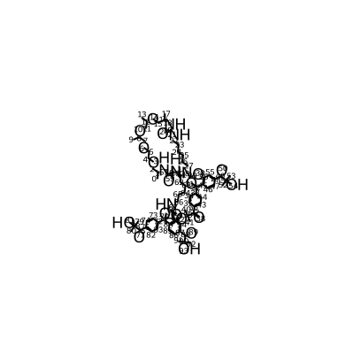 CC(COCCOCC(C)OCC(C)OCC(C)NC(=O)NCCCCCCNC(=O)OC(c1ccc(C(=O)C(C)(C)O)cc1)c1ccc(C(=O)C(C)(C)O)cc1)NC(=O)NCCCCCCNC(=O)OC(c1ccc(C(=O)C(C)(C)O)cc1)c1ccc(C(=O)C(C)(C)O)cc1